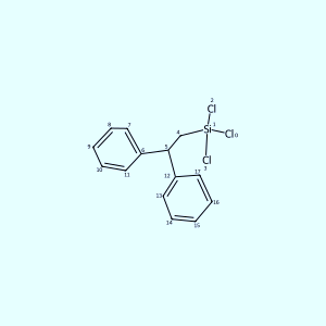 Cl[Si](Cl)(Cl)CC(c1ccccc1)c1ccccc1